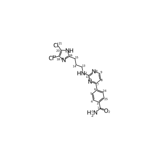 NC(=O)c1ccc(-c2ccnc(NCCCc3nc(Cl)c(Cl)[nH]3)n2)cc1